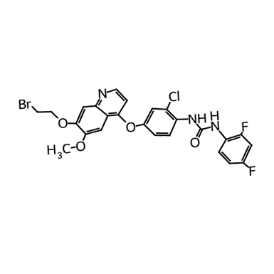 COc1cc2c(Oc3ccc(NC(=O)Nc4ccc(F)cc4F)c(Cl)c3)ccnc2cc1OCCBr